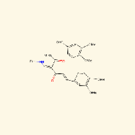 CCNC=C(C(=O)C=Cc1ccc(OC)c(OC)c1)C(=O)OC.COc1ccc(C=O)cc1OC